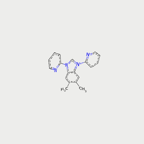 Cc1cc2c(cc1C)[n+](-c1ccccn1)cn2-c1ccccn1